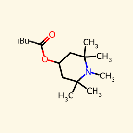 CCC(C)C(=O)OC1CC(C)(C)N(C)C(C)(C)C1